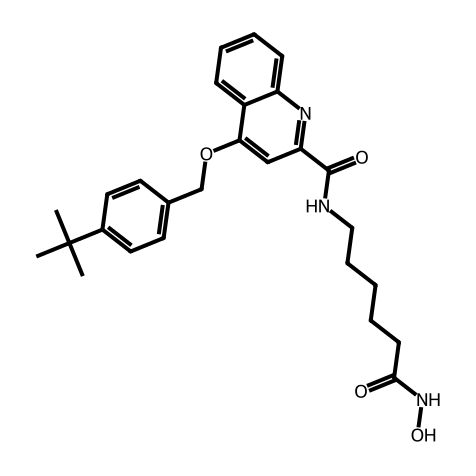 CC(C)(C)c1ccc(COc2cc(C(=O)NCCCCCC(=O)NO)nc3ccccc23)cc1